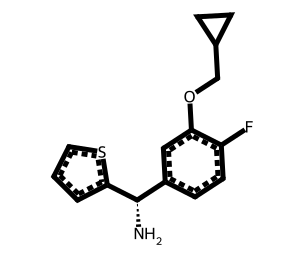 N[C@@H](c1ccc(F)c(OCC2CC2)c1)c1cccs1